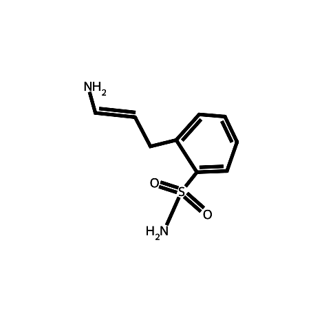 NC=CCc1ccccc1S(N)(=O)=O